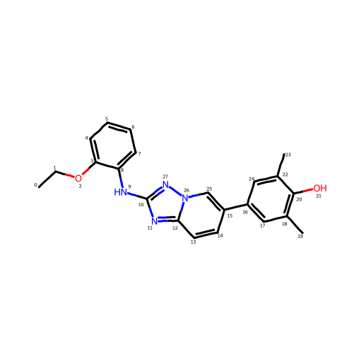 CCOc1ccccc1Nc1nc2ccc(-c3cc(C)c(O)c(C)c3)cn2n1